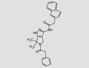 CC1(C)c2[nH]nc(NC(=O)Cc3ccc4ccccc4c3)c2CN1C(=O)Cc1ccccc1